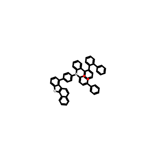 c1ccc(-c2ccc(N(c3ccc(-c4cccc5oc6c7ccccc7ccc6c45)cc3)c3ccccc3-c3ccccc3-c3ccccc3-c3ccccc3)cc2)cc1